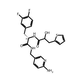 Nc1ccc(CNC(=O)[C@H](Cc2ccc(F)c(F)c2)NC(=O)C(O)Cc2cccs2)cn1